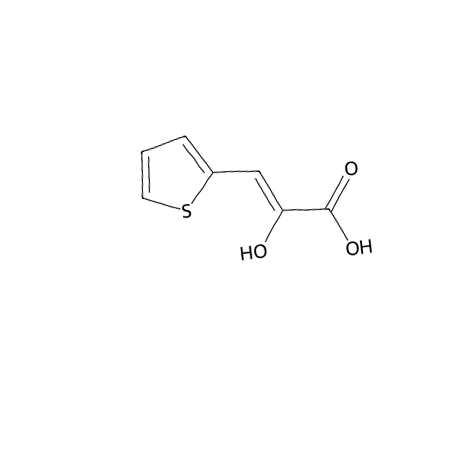 O=C(O)C(O)=Cc1cccs1